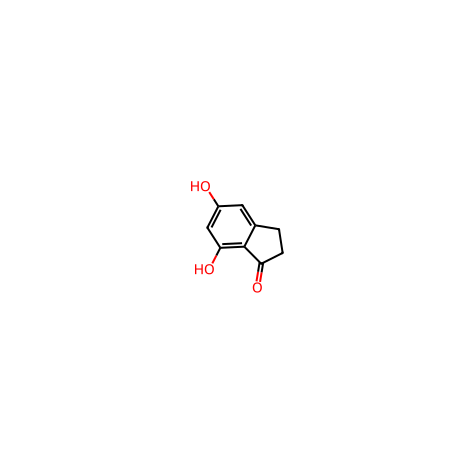 O=C1CCc2cc(O)cc(O)c21